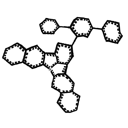 c1ccc(-c2ccc(-c3ccccc3)c(-c3cc4c5cc6ccccc6cc5n5c6cc7ccccc7cc6c(c3)c45)c2)cc1